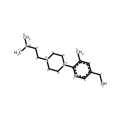 Cc1cc(CO)cnc1N1CCN(CCN(C)C)CC1